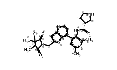 Cc1cc(-c2ccnc3cc(CN4C(=O)C(C)C(C)(C)C4=O)sc23)c(NC(=O)[C@@H]2CCNC2)c(C)n1